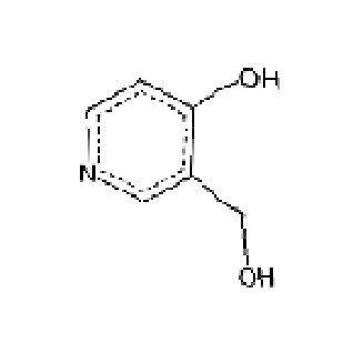 OCc1cnccc1O